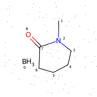 B.CN1CCCCC1=O